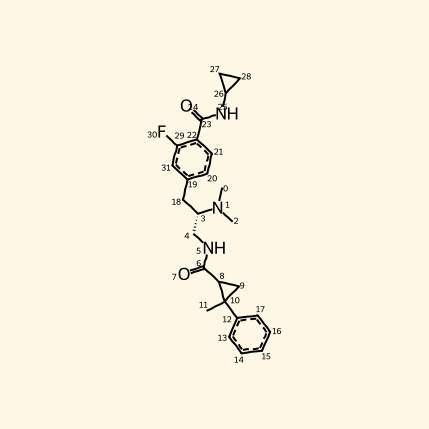 CN(C)[C@H](CNC(=O)C1CC1(C)c1ccccc1)Cc1ccc(C(=O)NC2CC2)c(F)c1